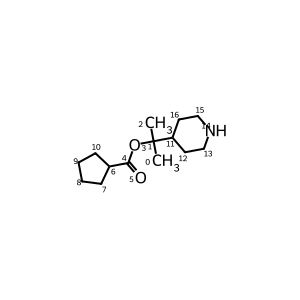 CC(C)(OC(=O)C1CCCC1)C1CCNCC1